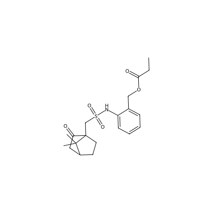 CCC(=O)OCc1ccccc1NS(=O)(=O)CC12CCC(CC1=O)C2(C)C